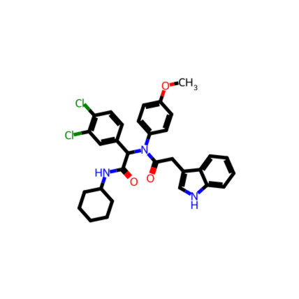 COc1ccc(N(C(=O)Cc2c[nH]c3ccccc23)C(C(=O)NC2CCCCC2)c2ccc(Cl)c(Cl)c2)cc1